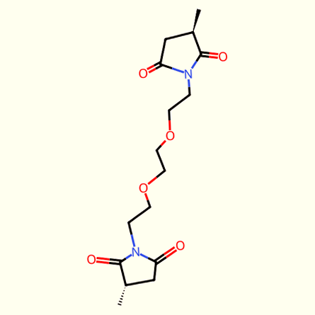 C[C@@H]1CC(=O)N(CCOCCOCCN2C(=O)C[C@H](C)C2=O)C1=O